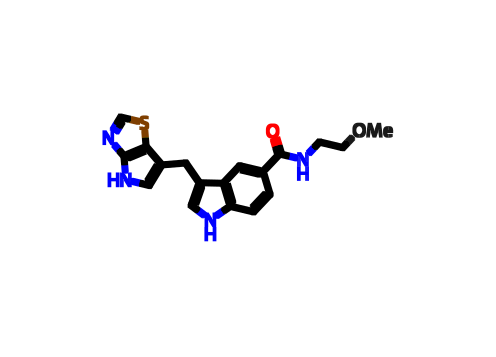 COCCNC(=O)c1ccc2[nH]cc(Cc3c[nH]c4ncsc34)c2c1